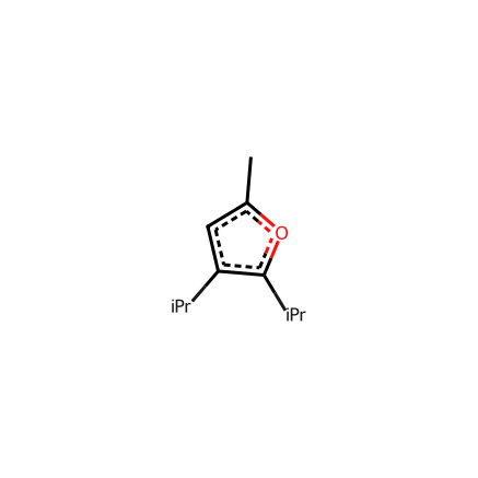 Cc1cc(C(C)C)c(C(C)C)o1